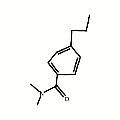 CCCc1ccc(C(=O)N(C)C)cc1